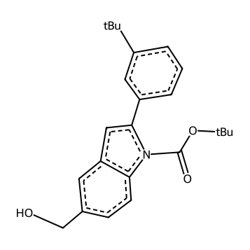 CC(C)(C)OC(=O)n1c(-c2cccc(C(C)(C)C)c2)cc2cc(CO)ccc21